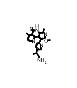 COc1nc(C)c2[nH]c(=O)c3c(C)ccnc3c2c1-c1ccc(C(C)CN)cn1